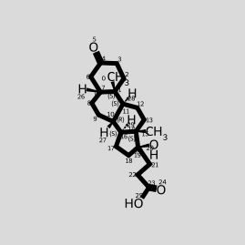 C[C@]12CCC(=O)C[C@H]1CC[C@@H]1[C@@H]2CC[C@@]2(C)[C@H]1CC[C@@]2(O)CCC(=O)O